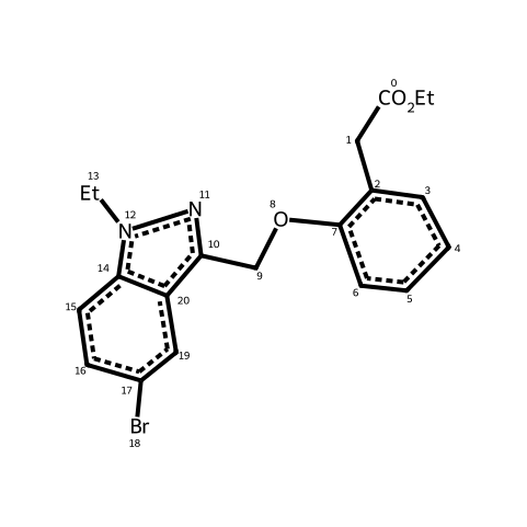 CCOC(=O)Cc1ccccc1OCc1nn(CC)c2ccc(Br)cc12